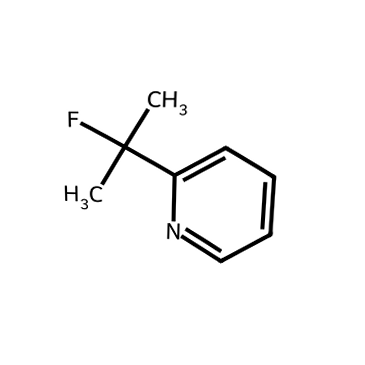 CC(C)(F)c1ccccn1